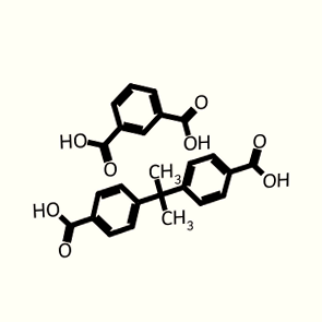 CC(C)(c1ccc(C(=O)O)cc1)c1ccc(C(=O)O)cc1.O=C(O)c1cccc(C(=O)O)c1